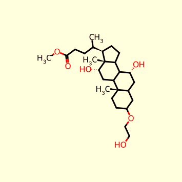 COC(=O)CCC(C)[C@H]1CCC2C3C(C[C@H](O)[C@@]21C)[C@@]1(C)CCC(OCCO)CC1C[C@H]3O